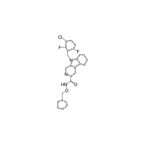 O=C(NOCc1ccccc1)c1cc2c3ccccc3n(Cc3c(F)ccc(Cl)c3F)c2cn1